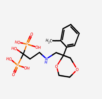 Cc1ccccc1C1(CNCCC(O)(P(=O)(O)O)P(=O)(O)O)COCCO1